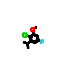 COc1cc(F)cc(C(C)C)c1Cl